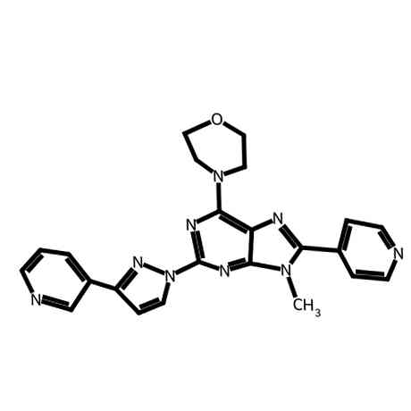 Cn1c(-c2ccncc2)nc2c(N3CCOCC3)nc(-n3ccc(-c4cccnc4)n3)nc21